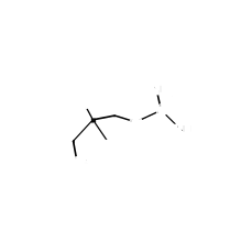 CCOC(=O)C(COC(C)=O)(COP(N)N)C(=O)OCC